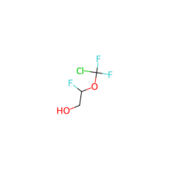 OCC(F)OC(F)(F)Cl